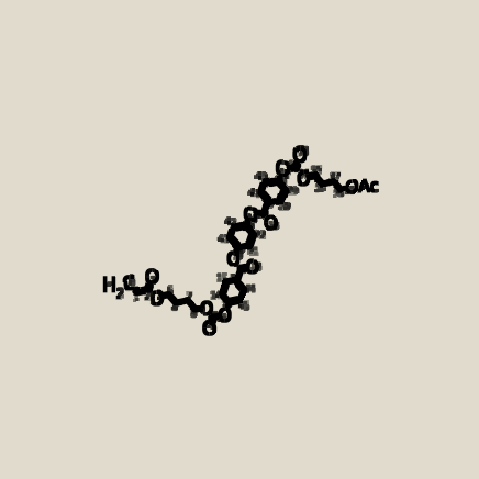 C=CC(=O)OCCCCOC(=O)Oc1ccc(C(=O)Oc2ccc(OC(=O)c3ccc(OC(=O)OCCCCOC(C)=O)cc3)cc2)cc1